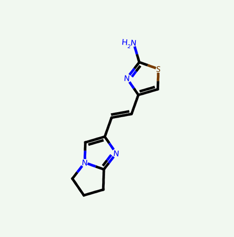 Nc1nc(/C=C/c2cn3c(n2)CCC3)cs1